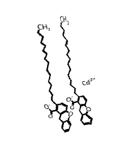 CCCCCCCCCCCCCCCCc1ccc2c(c1C(=O)[O-])Cc1ccccc1O2.CCCCCCCCCCCCCCCCc1ccc2c(c1C(=O)[O-])Cc1ccccc1O2.[Cd+2]